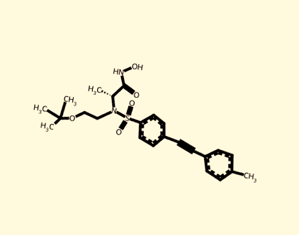 Cc1ccc(C#Cc2ccc(S(=O)(=O)N(CCOC(C)(C)C)[C@H](C)C(=O)NO)cc2)cc1